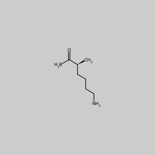 BC(=O)[C@@H](C)CCCCN